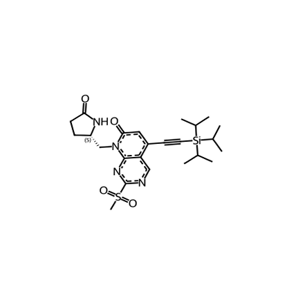 CC(C)[Si](C#Cc1cc(=O)n(C[C@@H]2CCC(=O)N2)c2nc(S(C)(=O)=O)ncc12)(C(C)C)C(C)C